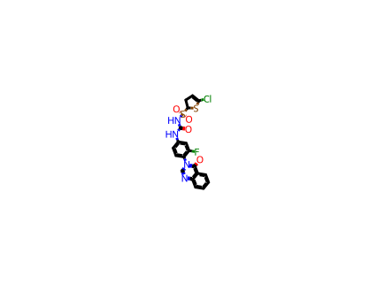 O=C(Nc1ccc(-n2cnc3ccccc3c2=O)c(F)c1)NS(=O)(=O)C1CC=C(Cl)S1